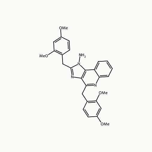 COc1ccc(Cc2nc3ccccc3c3c2nc(Cc2ccc(OC)cc2OC)n3N)c(OC)c1